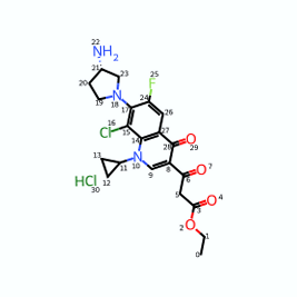 CCOC(=O)CC(=O)c1cn(C2CC2)c2c(Cl)c(N3CC[C@H](N)C3)c(F)cc2c1=O.Cl